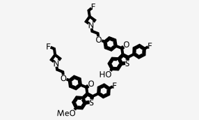 COc1ccc2c(C(=O)c3ccc(OCCN4CC(CF)C4)cc3)c(-c3ccc(F)cc3)sc2c1.O=C(c1ccc(OCCN2CC(CF)C2)cc1)c1c(-c2ccc(F)cc2)sc2cc(O)ccc12